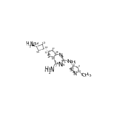 Cc1cc(Nc2nc(N)c3sc([C@H]4C[C@H](N)C4)cc3n2)sn1